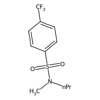 CCCN(C)S(=O)(=O)c1ccc(C(F)(F)F)cc1